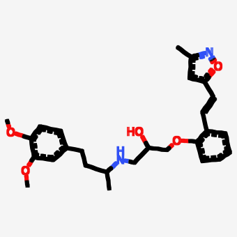 COc1ccc(CCC(C)NCC(O)COc2ccccc2C=Cc2cc(C)no2)cc1OC